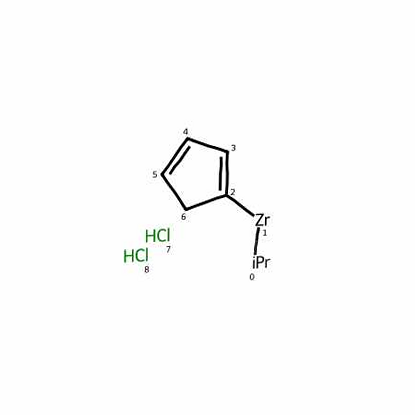 C[CH](C)[Zr][C]1=CC=CC1.Cl.Cl